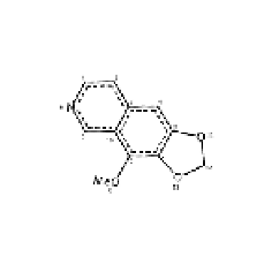 COc1c2c(cc3ccncc13)OCO2